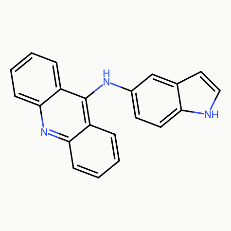 c1ccc2c(Nc3ccc4[nH]ccc4c3)c3ccccc3nc2c1